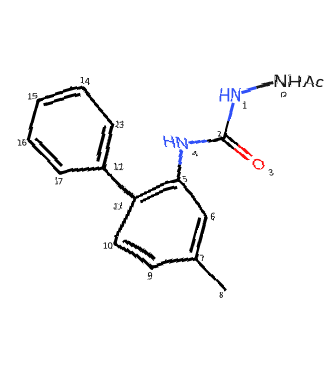 CC(=O)NNC(=O)Nc1cc(C)ccc1-c1ccccc1